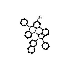 CC(C)(C)c1cc2c3c(c1)N(c1ccccc1)c1ccccc1B3c1c3c-2cccc3c(-c2ccccc2)n1-c1ccc2ccccc2c1